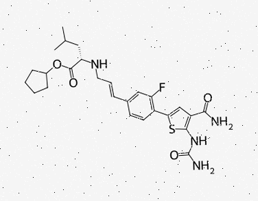 CC(C)C[C@H](NCC=Cc1ccc(-c2cc(C(N)=O)c(NC(N)=O)s2)c(F)c1)C(=O)OC1CCCC1